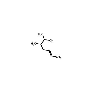 C/C=C/C[C@@H](C)[C@@H](C)O